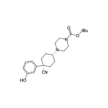 CC(C)(C)OC(=O)N1CCN([C@H]2CC[C@](C#N)(c3cccc(O)c3)CC2)CC1